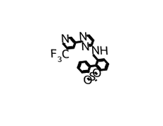 CS(=O)(=O)c1ccccc1-c1ccccc1CNc1ccnc(-c2cncc(C(F)(F)F)c2)n1